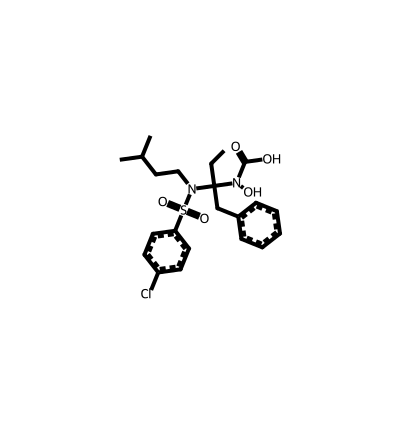 CCC(Cc1ccccc1)(N(O)C(=O)O)N(CCC(C)C)S(=O)(=O)c1ccc(Cl)cc1